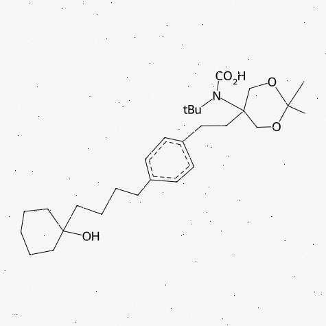 CC1(C)OCC(CCc2ccc(CCCCC3(O)CCCCC3)cc2)(N(C(=O)O)C(C)(C)C)CO1